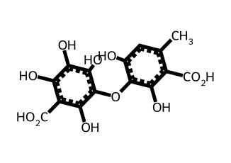 Cc1cc(O)c(Oc2c(O)c(O)c(O)c(C(=O)O)c2O)c(O)c1C(=O)O